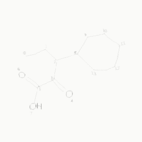 CCC(C(=O)C(=O)O)C1CCCCC1